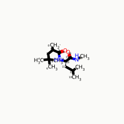 [CH2]C(CC(C)(C)C)C(=O)N[C@@H](CC(C)C)C(=O)NC